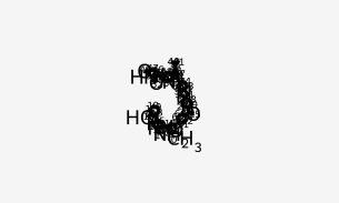 C[C@@H]1CN(c2cc(-c3ccccc3O)nnc2N)C[C@@H](c2ccc(C(=O)N3CCC(F)(CN4CCC(n5cc(C6CC6)c6cc(N7CCC(=O)NC7=O)cnc65)CC4)CC3)cc2)O1